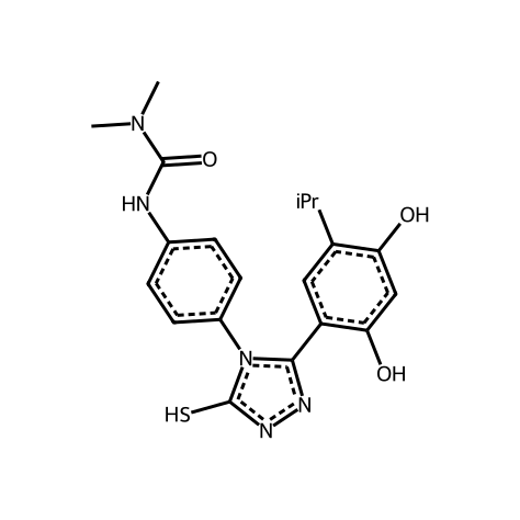 CC(C)c1cc(-c2nnc(S)n2-c2ccc(NC(=O)N(C)C)cc2)c(O)cc1O